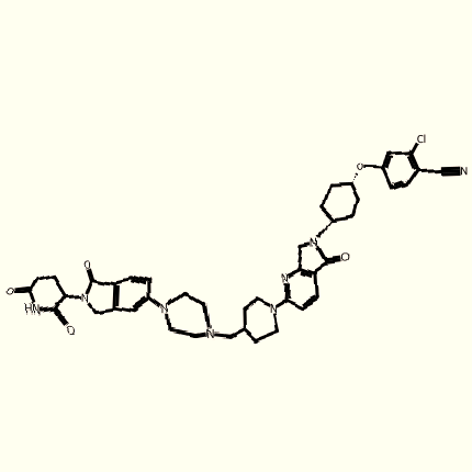 N#Cc1ccc(O[C@H]2CC[C@H](N3Cc4nc(N5CCC(CN6CCN(c7ccc8c(c7)CN(C7CCC(=O)NC7=O)C8=O)CC6)CC5)ccc4C3=O)CC2)cc1Cl